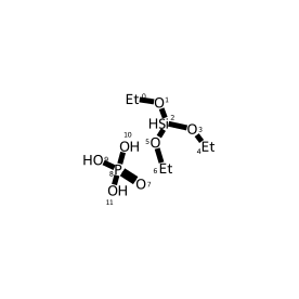 CCO[SiH](OCC)OCC.O=P(O)(O)O